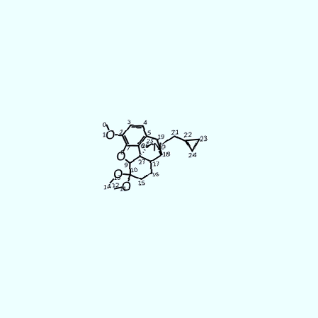 COc1ccc2c3c1OC1C(OC)(OC)CCC4C(C2)N(CC2CC2)CC[C@]341